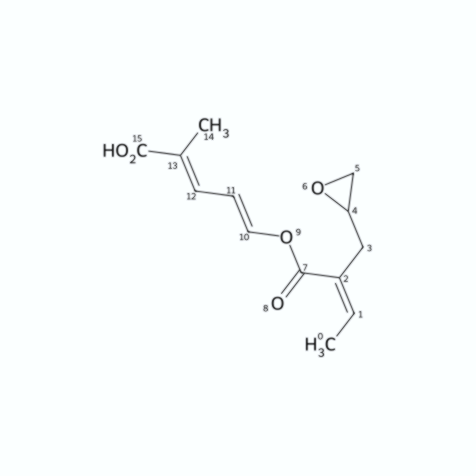 CC=C(CC1CO1)C(=O)OC=CC=C(C)C(=O)O